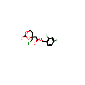 O=C(CC1(CF)CCOC(=O)O1)OCc1ccc(F)cc1F